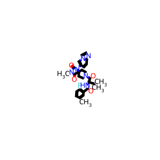 Cc1ccc(F)c(C(=O)N[C@@H](C(=O)N2CCC3(CC2)C(=O)N(C)C(=O)N3c2ccc3nccn3c2)C(C)C)c1